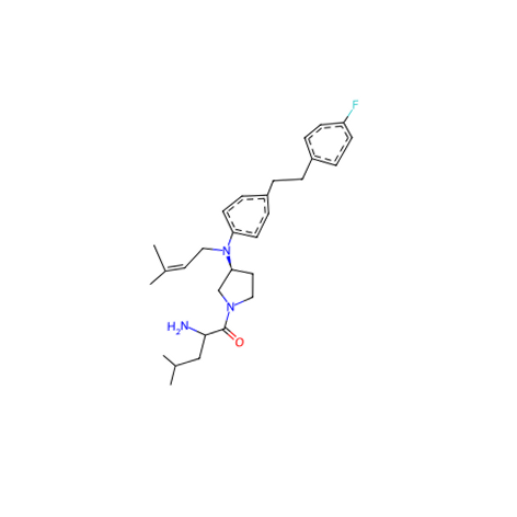 CC(C)=CCN(c1ccc(CCc2ccc(F)cc2)cc1)[C@H]1CCN(C(=O)C(N)CC(C)C)C1